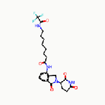 O=C1CCC(N2Cc3c(NC(=O)CCCCCCCNC(=O)C(F)(F)F)cccc3C2=O)C(=O)N1